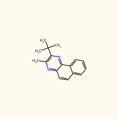 Cc1nc2ccc3ccccc3c2nc1C(C)(C)C